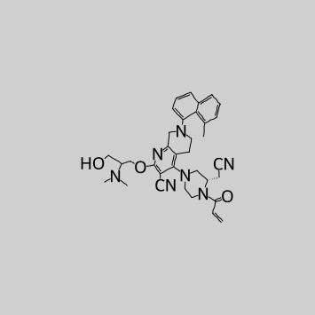 C=CC(=O)N1CCN(c2c(C#N)c(OCC(CO)N(C)C)nc3c2CCN(c2cccc4cccc(C)c24)C3)C[C@@H]1CC#N